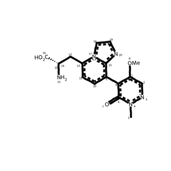 COc1cnn(C)c(=O)c1-c1ccc(C[C@H](N)C(=O)O)n2ccnc12